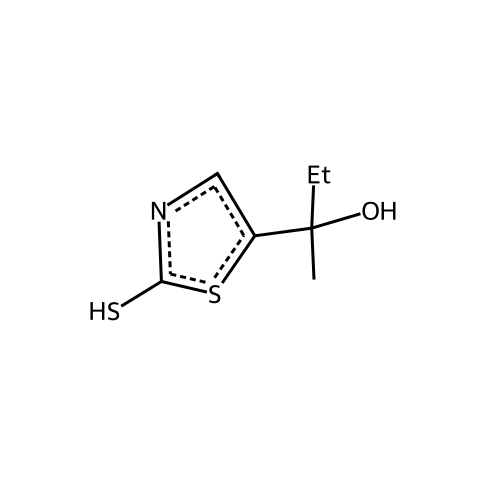 CCC(C)(O)c1cnc(S)s1